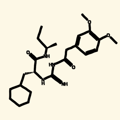 CC[C@@H](C)NC(=O)[C@@H](CC1CCCCC1)NC(=N)NC(=O)Cc1ccc(OC)c(OC)c1